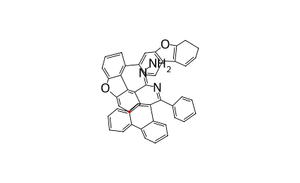 N/N=C(\N=C(\c1ccccc1)c1cc2ccccc2c2ccccc12)c1cccc2oc3cccc(-c4ccc5c6c(oc5c4)CCC=C6)c3c12